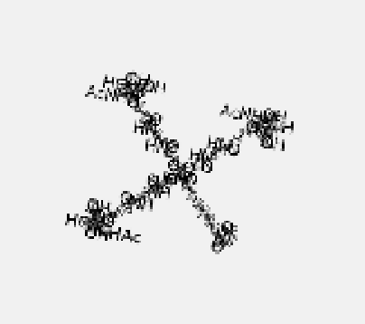 CC(=O)N[C@H]1[C@H](OCCCCC(=O)NCCCNC(=O)CCOCC(COCCC(=O)NCCCNC(=O)CCCCO[C@@H]2O[C@H](CO)[C@H](O)[C@H](O)[C@H]2NC(C)=O)(COCCC(=O)NCCCNC(=O)CCCCO[C@@H]2O[C@H](CO)[C@H](O)[C@H](O)[C@H]2NC(C)=O)NC(=O)CCCCCCCCCCCN2C(=O)C=CC2=O)O[C@H](CO)[C@H](O)[C@@H]1O